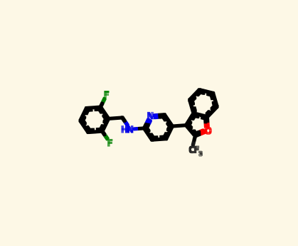 Fc1cccc(F)c1CNc1ccc(-c2c(C(F)(F)F)oc3ccccc23)cn1